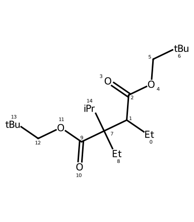 CCC(C(=O)OCC(C)(C)C)C(CC)(C(=O)OCC(C)(C)C)C(C)C